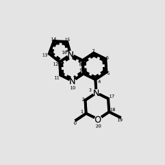 CC1CN(c2cccc3c2ncc2cccn23)CC(C)O1